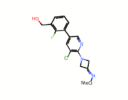 CON=C1CN(c2ncc(-c3cccc(CO)c3F)cc2Cl)C1